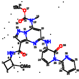 COC1CC[C@H]1NC(=O)c1cnn2c(N(C)C(=O)OC(C)(C)C)cc(Nc3cccn(-c4ccccn4)c3=O)nc12